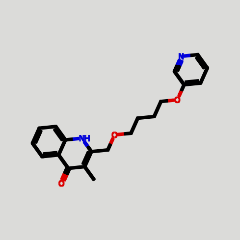 Cc1c(COCCCCOc2cccnc2)[nH]c2ccccc2c1=O